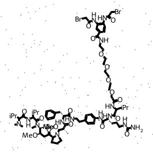 CC[C@H](C)[C@@H]([C@@H](CC(=O)C1CCCN1[C@H](OC)[C@@H](C)C(=O)N[C@H](Cc1ccccc1)C(=O)NCCc1ccc(NC(=O)[C@@H](CCCNC(N)=O)NC(=O)C(NC(=O)COCCOCCOCCOCCNC(=O)c2ccc(NC(=O)CBr)c(NC(=O)CBr)c2)C(C)C)cc1)OC)N(C)C(=O)C(NC(=O)C(C(C)C)N(C)C)C(C)C